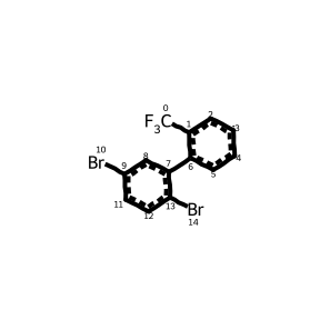 FC(F)(F)c1c[c]ccc1-c1cc(Br)ccc1Br